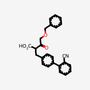 N#Cc1ccccc1-c1ccc(CC(C(=O)O)C(=O)COCc2ccccc2)cc1